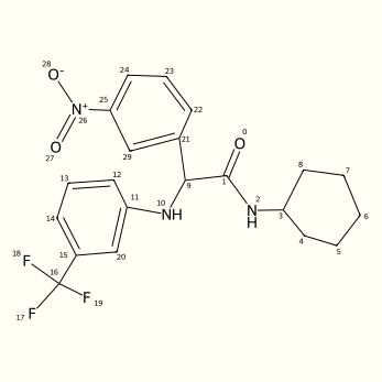 O=C(NC1CCCCC1)C(Nc1cccc(C(F)(F)F)c1)c1cccc([N+](=O)[O-])c1